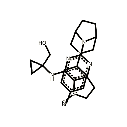 [O-][S+]1CCc2nc(N3C4CCC3CN(c3ccc(Br)cc3)C4)nc(NC3(CO)CC3)c21